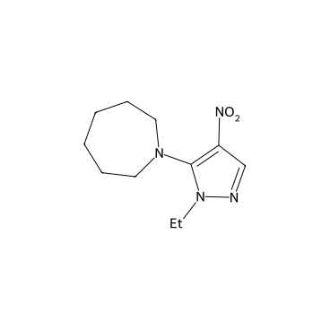 CCn1ncc([N+](=O)[O-])c1N1CCCCCC1